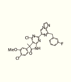 COc1cc(C2(C)C(=O)Nc3nc(-c4cn5ccnc5c(Cc5cccc(F)c5)n4)nc(Cl)c32)ccc1Cl